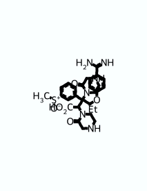 CCC(Oc1ccc(C(=N)N)cc1)C(c1cccc([S+](C)[O-])c1)(C(C(=O)O)N1CCNCC1=O)N1CCNCC1=O